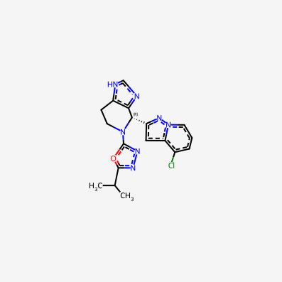 CC(C)c1nnc(N2CCc3[nH]cnc3[C@@H]2c2cc3c(Cl)cccn3n2)o1